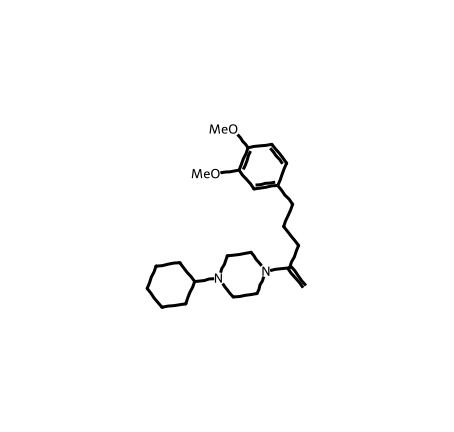 C=C(CCCc1ccc(OC)c(OC)c1)N1CCN(C2CCCCC2)CC1